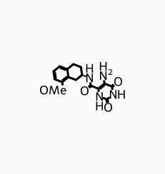 COc1cccc2c1C[C@H](NC(=O)c1[nH]c(=O)[nH]c(=O)c1N)CC2